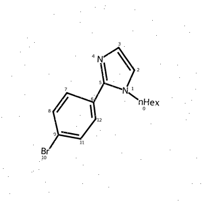 CCCCCCn1ccnc1-c1ccc(Br)cc1